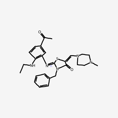 CCNc1ccc(C(C)=O)cc1/N=C1\SC(=CN2CCN(C)CC2)C(=O)N1Cc1ccccc1